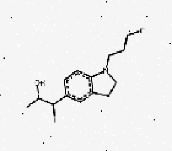 CC(O)C(I)c1ccc2c(c1)CCN2CCCCl